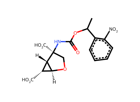 CC(OC(=O)N[C@@]1(C(=O)O)CO[C@H]2[C@H](C(=O)O)[C@@H]21)c1ccccc1[N+](=O)[O-]